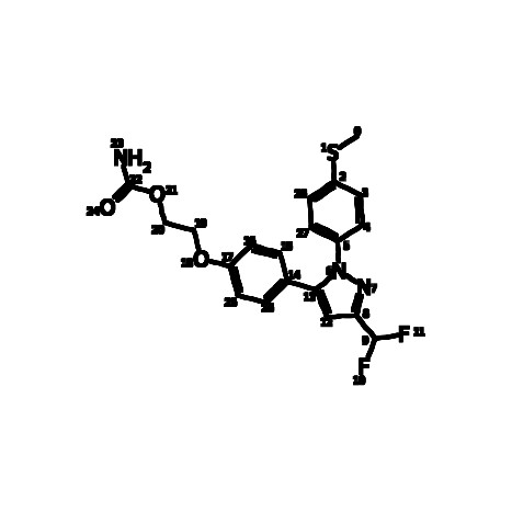 CSc1ccc(-n2nc(C(F)F)cc2-c2ccc(OCCOC(N)=O)cc2)cc1